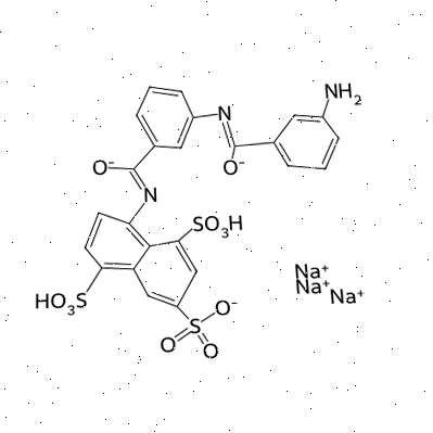 Nc1cccc(C([O-])=Nc2cccc(C([O-])=Nc3ccc(S(=O)(=O)O)c4cc(S(=O)(=O)[O-])cc(S(=O)(=O)O)c34)c2)c1.[Na+].[Na+].[Na+]